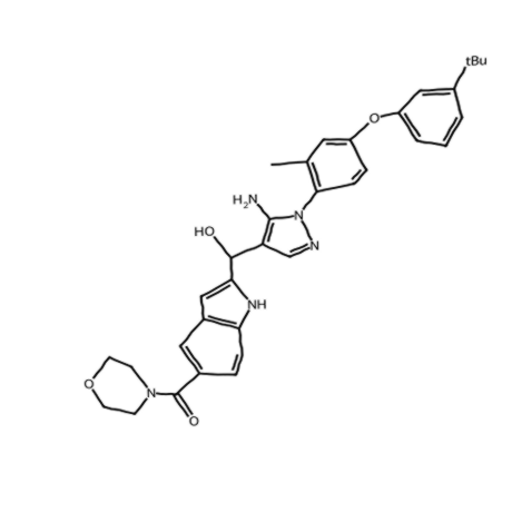 Cc1cc(Oc2cccc(C(C)(C)C)c2)ccc1-n1ncc(C(O)c2cc3cc(C(=O)N4CCOCC4)ccc3[nH]2)c1N